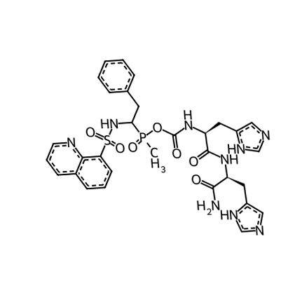 CP(=O)(OC(=O)N[C@@H](Cc1cnc[nH]1)C(=O)N[C@@H](Cc1cnc[nH]1)C(N)=O)C(Cc1ccccc1)NS(=O)(=O)c1cccc2cccnc12